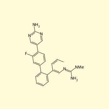 C\C=C/C(=C\N=C(/N)NC)c1ccccc1-c1ccc(-c2cnc(N)nc2)c(F)c1